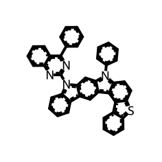 c1ccc(-c2nc(-n3c4ccccc4c4cc5c6c7c(ccc6n(-c6ccccc6)c5cc43)sc3ccccc37)nc3ccccc23)cc1